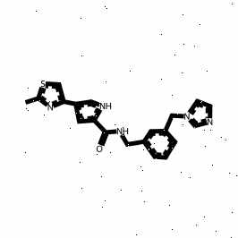 Cc1nc(-c2c[nH]c(C(=O)NCc3cccc(Cn4ccnc4)c3)c2)cs1